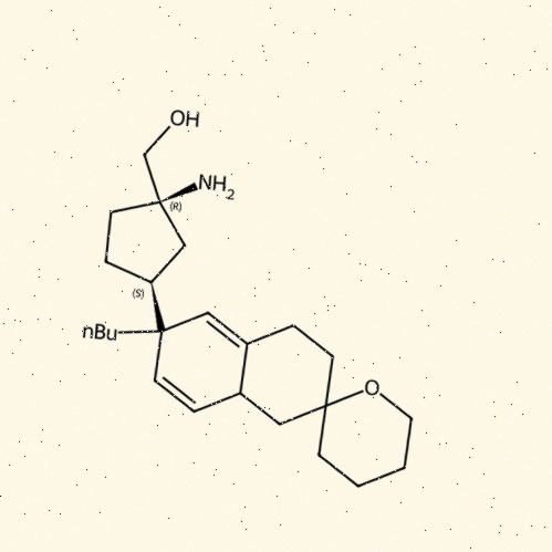 CCCCC1([C@H]2CC[C@](N)(CO)C2)C=CC2CC3(CCCCO3)CCC2=C1